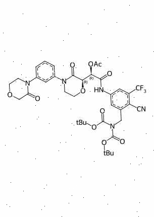 CC(=O)O[C@@H](C(=O)Nc1cc(CN(C(=O)OC(C)(C)C)C(=O)OC(C)(C)C)c(C#N)c(C(F)(F)F)c1)[C@H]1OCCN(c2cccc(N3CCOCC3=O)c2)C1=O